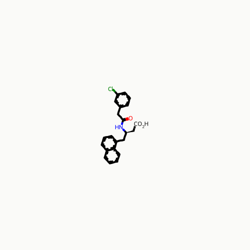 O=C(O)C[C@@H](Cc1cccc2ccccc12)NC(=O)Cc1cccc(Cl)c1